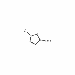 [CH2]C(=O)N1CCC(NC)C1